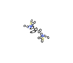 c1ccc(-c2ccc(-n3c4ccc(-c5ccc(-c6ccc(-c7ccc8c(c7)c7c9ccccc9c9c%10ccccc%10sc9c7n8-c7ccc(-c8ccccc8)cc7)c7ccccc67)c6ccccc56)cc4c4c5ccccc5c5c6ccccc6sc5c43)cc2)cc1